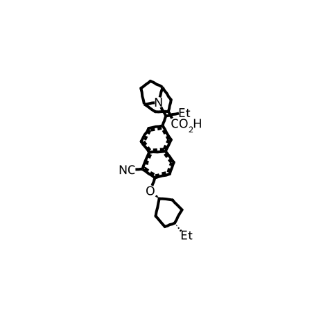 CCC(c1ccc2c(C#N)c(O[C@H]3CC[C@@H](CC)CC3)ccc2c1)N1C2CCC1CC(C(=O)O)C2